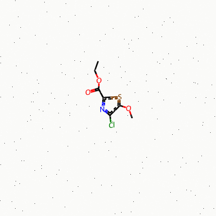 CCOC(=O)c1nc(Cl)c(OC)s1